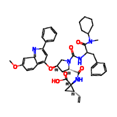 C=C[C@@H]1C[C@]1(NC(=O)[C@@H]1C[C@@H](Oc2cc(-c3ccccc3)nc3cc(OC)ccc23)CN1C(=O)NC(Cc1ccccc1)C(=O)N(C)C1CCCCC1)C(=O)O